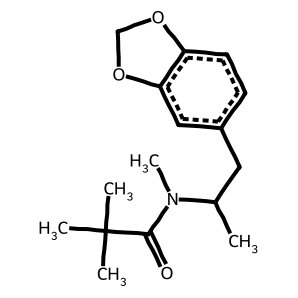 CC(Cc1ccc2c(c1)OCO2)N(C)C(=O)C(C)(C)C